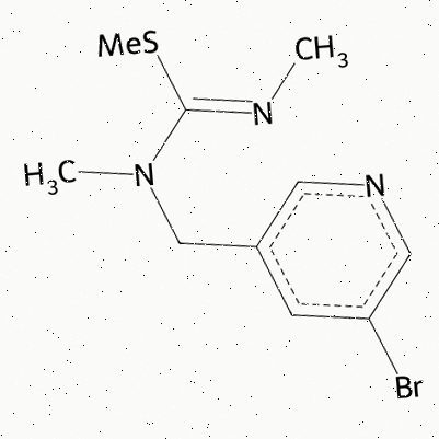 CN=C(SC)N(C)Cc1cncc(Br)c1